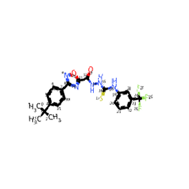 CC(C)(C)c1ccc(-c2noc(C(=O)NNC(=S)Nc3cccc(C(F)(F)F)c3)n2)cc1